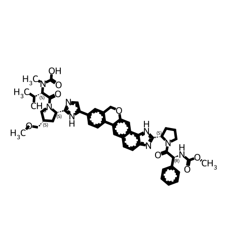 COC[C@H]1C[C@@H](c2ncc(-c3ccc4c(c3)COc3cc5c(ccc6nc([C@@H]7CCCN7C(=O)[C@H](NC(=O)OC)c7ccccc7)[nH]c65)cc3-4)[nH]2)N(C(=O)[C@H](C(C)C)N(C)C(=O)O)C1